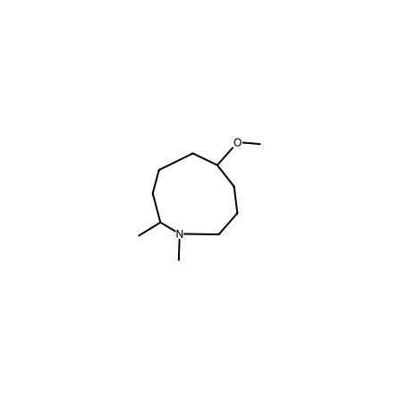 COC1CCCC(C)N(C)CCC1